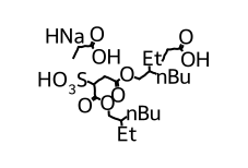 CCC(=O)O.CCC(=O)O.CCCCC(CC)COC(=O)CC(C(=O)OCC(CC)CCCC)S(=O)(=O)O.[NaH]